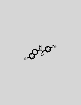 O=C(NC1CCc2cc(Br)ccc2C1)c1ccc(O)cc1